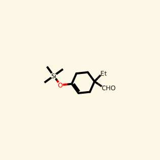 CCC1(C=O)CC=C(O[Si](C)(C)C)CC1